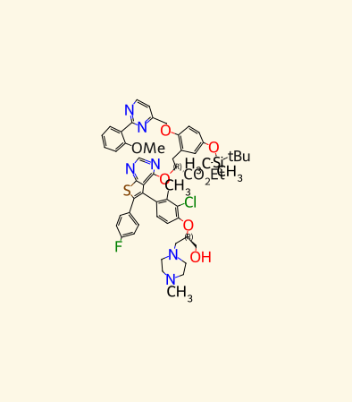 CCOC(=O)[C@@H](Cc1cc(O[Si](C)(C)C(C)(C)C)ccc1OCc1ccnc(-c2ccccc2OC)n1)Oc1ncnc2sc(-c3ccc(F)cc3)c(-c3ccc(O[C@@H](CO)CN4CCN(C)CC4)c(Cl)c3C)c12